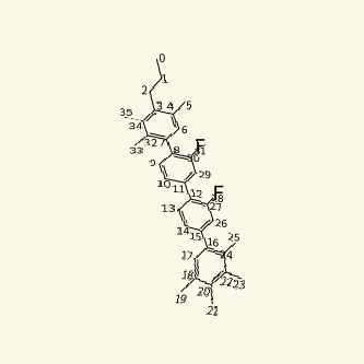 CCCc1c(C)cc(-c2ccc(-c3ccc(-c4cc(C)c(C)c(C)c4C)cc3F)cc2F)c(C)c1C